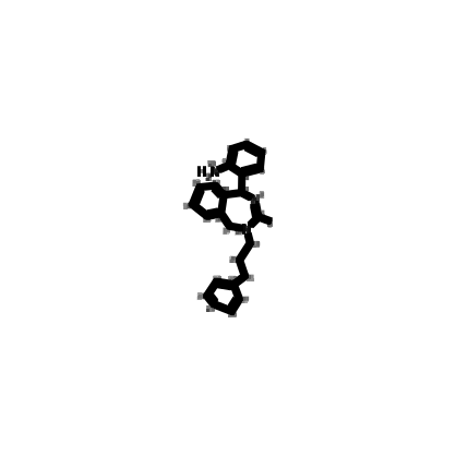 CC1=NC(c2ccccc2N)c2ccccc2CN1CCCc1ccccc1